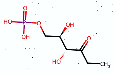 CCC(=O)[C@H](O)[C@H](O)COP(=O)(O)O